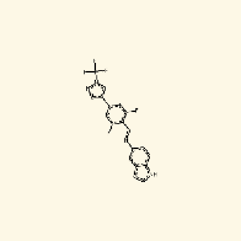 Fc1cc(-c2cnn(C(F)(F)F)c2)cc(F)c1C=Nc1ccc2[nH]cnc2c1